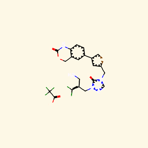 NCC(Cn1ncn(Cc2cc(-c3ccc4c(c3)COC(=O)N4)cs2)c1=O)=C(F)F.O=C(O)C(F)(F)F